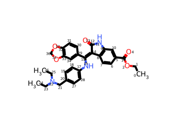 CCOC(=O)c1ccc2c(c1)NC(=O)C2=C(Nc1ccc(CN(CC)CC)cc1)c1ccc2c(c1)OCO2